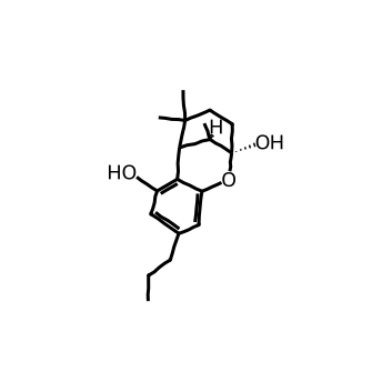 CCCc1cc(O)c2c(c1)O[C@]1(O)CCC(C)(C)C2[C@H]1C